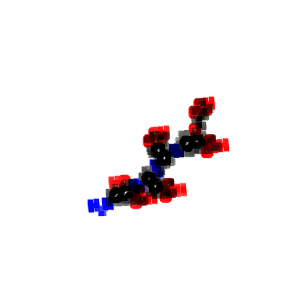 Nc1ccc2c(O)c(N=Nc3ccc(N=Nc4ccc(N=Nc5ccc6c(OCCCS(=O)(=O)O)cc(S(=O)(=O)O)cc6c5)c5cc(S(=O)(=O)O)ccc45)c4cc(S(=O)(=O)O)ccc34)c(S(=O)(=O)O)cc2c1